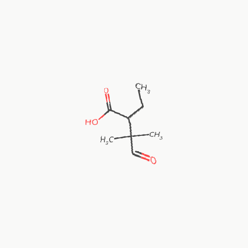 CCC(C(=O)O)C(C)(C)C=O